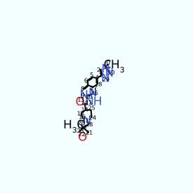 Cn1cc(-c2ccc3cnc(NC(=O)C4CCN(CC5(C)COC5)CC4)nc3c2)nn1